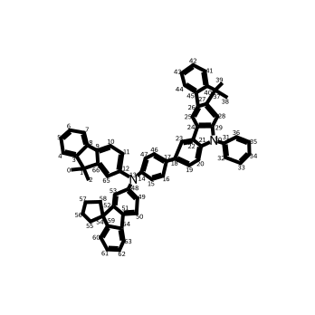 CC1(C)c2ccccc2-c2ccc(N(c3ccc(-c4ccc5c(c4)c4cc6c(cc4n5-c4ccccc4)C(C)(C)c4ccccc4-6)cc3)c3ccc4c(c3)C3(CCCC3)c3ccccc3-4)cc21